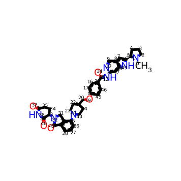 CN1CCC[C@@H]1c1cc2cnc(NC(=O)c3ccc(OCC4CCN(c5cccc6c5CN(C5CCC(=O)NC5=O)C6=O)CC4)cc3)cc2[nH]1